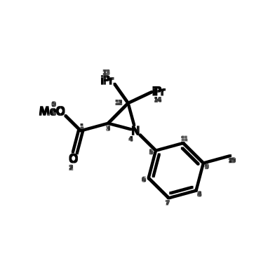 COC(=O)C1N(c2cccc(C)c2)C1(C(C)C)C(C)C